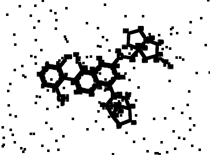 Oc1cccc(F)c1-c1ncc2c(N3CC4CCC(C3)N4)nc(OC[C@@]34CCCN3C[C@H](F)C4)nc2c1F